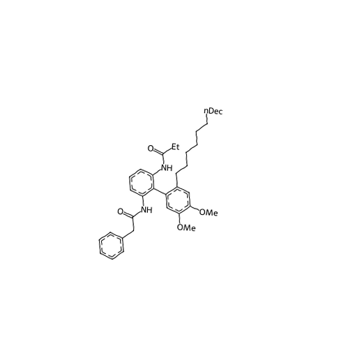 CCCCCCCCCCCCCCCCc1cc(OC)c(OC)cc1-c1c(NC(=O)CC)cccc1NC(=O)Cc1ccccc1